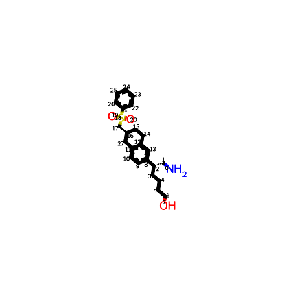 NC[C@H](CCCCO)c1ccc2c(c1)CC[C@H](CS(=O)(=O)c1ccccc1)C2